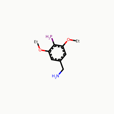 CCOc1cc(CN)cc(OCC)c1P